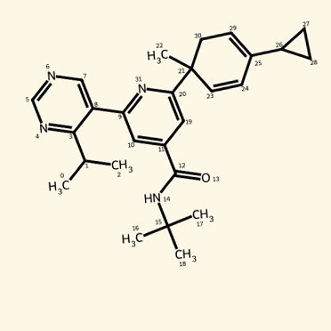 CC(C)c1ncncc1-c1cc(C(=O)NC(C)(C)C)cc(C2(C)C=CC(C3CC3)=CC2)n1